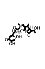 CC(O)C1C(=O)N2C(C(=O)O)=C(CN(C)CC(=O)NCc3cc(=O)c(O)cn3O)C(C)[C@H]12